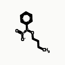 CCCCON(c1ccccc1)[N+](=O)[O-]